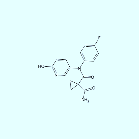 NC(=O)C1(C(=O)N(c2ccc(F)cc2)c2ccc(O)nc2)CC1